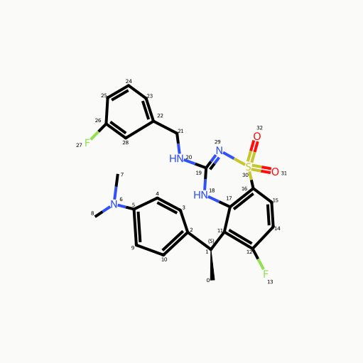 C[C@@H](c1ccc(N(C)C)cc1)c1c(F)ccc2c1NC(NCc1cccc(F)c1)=NS2(=O)=O